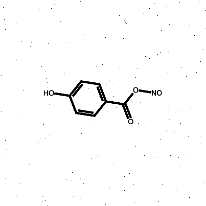 O=NOC(=O)c1ccc(O)cc1